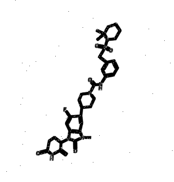 C=C1NC(=O)CCC1n1c(=O)n(C)c2cc(C3CCN(C(=O)Nc4cccc(CS(=O)(=O)N5CCCCC5(C)C)c4)CC3)c(F)cc21